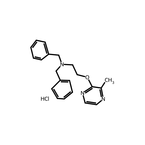 Cc1nccnc1OCCN(Cc1ccccc1)Cc1ccccc1.Cl